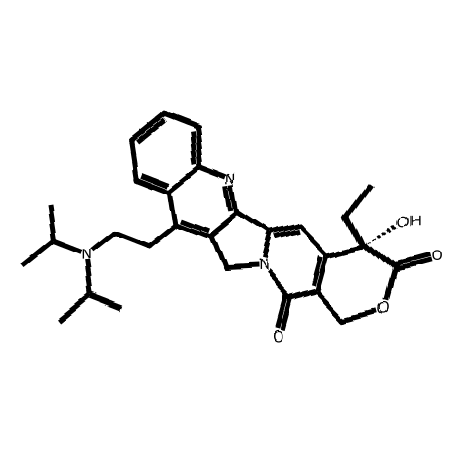 CC[C@@]1(O)C(=O)OCc2c1cc1n(c2=O)Cc2c-1nc1ccccc1c2CCN(C(C)C)C(C)C